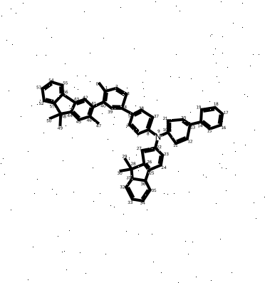 Cc1ccc(-c2ccc(N(c3ccc(-c4ccccc4)cc3)c3ccc4c(c3)C(C)(C)C3C=CC=CC43)cc2)cc1-c1cc2c(cc1C)C(C)(C)c1ccccc1-2